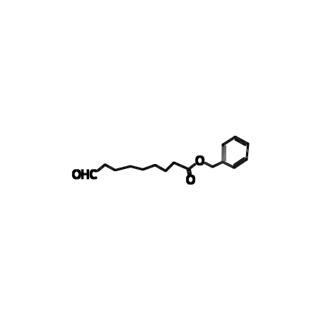 O=CCCCCCCCC(=O)OCc1ccccc1